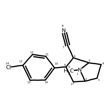 CN1C2CCC1C(C#N)C(c1ccc(Cl)cc1)C2